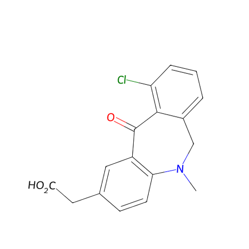 CN1Cc2cccc(Cl)c2C(=O)c2cc(CC(=O)O)ccc21